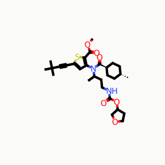 COC(=O)c1sc(C#CC(C)(C)C)cc1N(C(=O)[C@H]1CC[C@H](C)CC1)C(C)CCNC(=O)OC1CCOC1